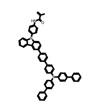 C=C(C)C(=O)Nc1ccc(-n2c3ccccc3c3cc(-c4ccc(-c5ccc(N(c6ccc(-c7ccccc7)cc6)c6ccc(-c7ccccc7)cc6)cc5)cc4)ccc32)cc1